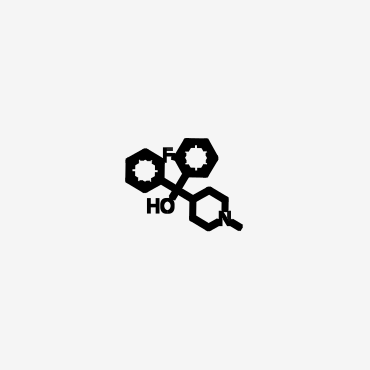 CN1CCC(C(O)(c2ccccc2)c2ccccc2F)CC1